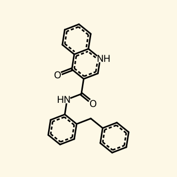 O=C(Nc1ccccc1Cc1ccccc1)c1c[nH]c2ccccc2c1=O